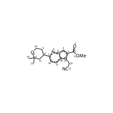 COC(=O)c1cn2nc(C3CCOC(C)(C)C3)ccc2c1CC#N